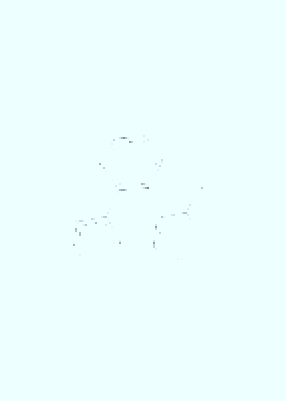 CCCCCCc1cccs1.c1ccc(-c2cc[nH]n2)nc1